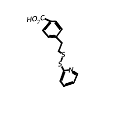 O=C(O)c1ccc(CCSSc2ccccn2)cc1